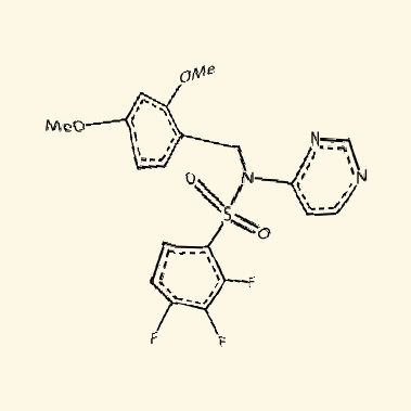 COc1ccc(CN(c2ccncn2)S(=O)(=O)c2ccc(F)c(F)c2F)c(OC)c1